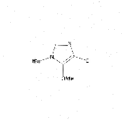 COc1c(Cl)ncn1C(C)(C)C